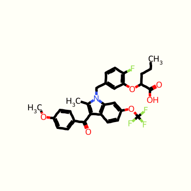 CCCC(Oc1cc(Cn2c(C)c(C(=O)c3ccc(OC)cc3)c3ccc(OC(F)(F)F)cc32)ccc1F)C(=O)O